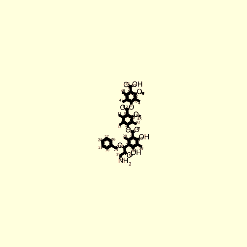 COc1c(C)c(OC(=O)c2c(C)c(C)c(OC(=O)c3c(C)c(C(OCc4ccccc4)C(=O)CN)c(O)c(C)c3O)c(C)c2OC)c(C)c(C)c1C(=O)O